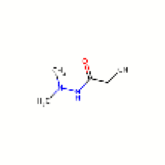 CN(C)NC(=O)CC#N